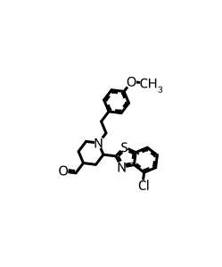 COc1ccc(CCN2CCC(C=O)CC2c2nc3c(Cl)cccc3s2)cc1